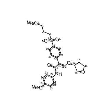 COCCCS(=O)(=O)c1ccc(/C(=N\O[C@@H]2CCOC2)C(=O)Nc2cnc(OC)cn2)cc1